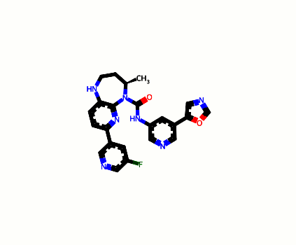 C[C@@H]1CCNc2ccc(-c3cncc(F)c3)nc2N1C(=O)Nc1cncc(-c2cnco2)c1